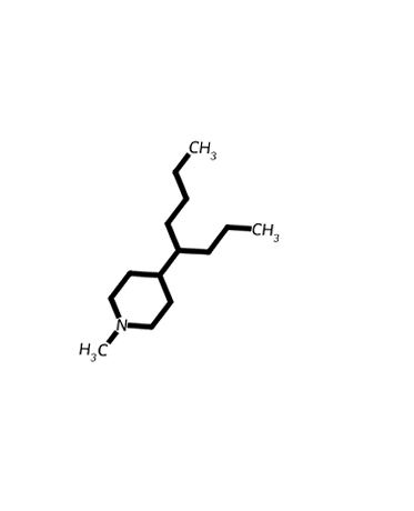 CCCCC(CCC)C1CCN(C)CC1